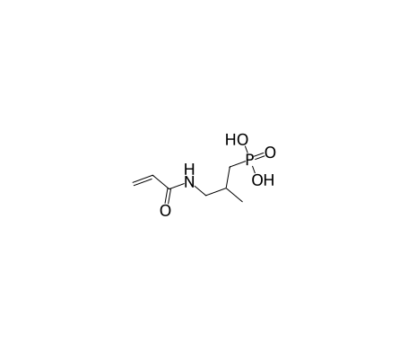 C=CC(=O)NCC(C)CP(=O)(O)O